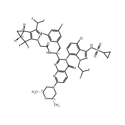 C[C@@H]1CN(c2ccc3c(=O)n(-c4ccc(Cl)c5c(NS(=O)(=O)C6CC6)nn(CC(F)F)c45)c([C@H](Cc4cc(F)cc(F)c4)NC(=O)Cn4nc(C(F)F)c5c4C(F)(F)[C@@H]4C[C@H]54)nc3n2)C[C@H](C)O1